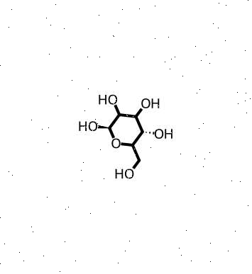 OCC1O[C@@H](O)C(O)C(O)[C@@H]1O